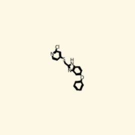 Clc1cc(SCc2nc3cc(Oc4ccccc4)ccc3[nH]2)ccn1